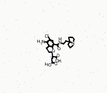 Nc1c(Cl)cc(C(=O)NCCC23CCCN2CCC3)c2c1CCC(/C(=C/C(=O)O)C(=O)O)O2